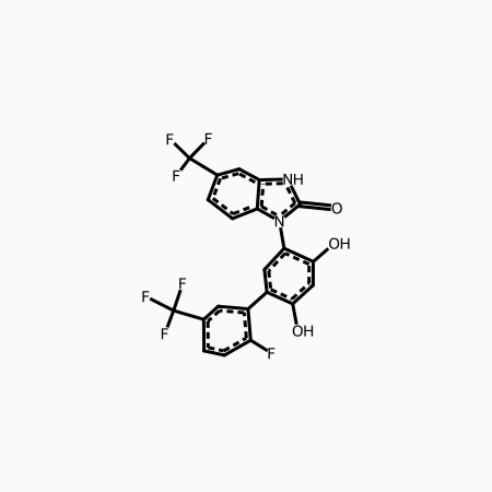 O=c1[nH]c2cc(C(F)(F)F)ccc2n1-c1cc(-c2cc(C(F)(F)F)ccc2F)c(O)cc1O